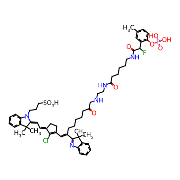 Cc1ccc(OP(=O)(O)O)c(C(F)C(=O)NCCCCCC(=O)NCCNCC(=O)CCCCC/C(=C\C2=C(Cl)C(=C/C=C3/N(CCCS(=O)(=O)O)c4ccccc4C3(C)C)/CC2)C2=Nc3ccccc3C2(C)C)c1